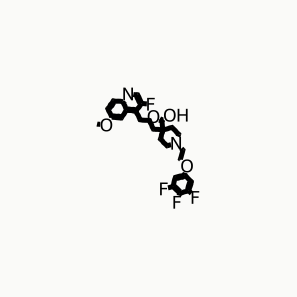 COc1ccc2ncc(F)c(CCCC3(C(=O)O)CCN(CCOc4cc(F)c(F)c(F)c4)CC3)c2c1